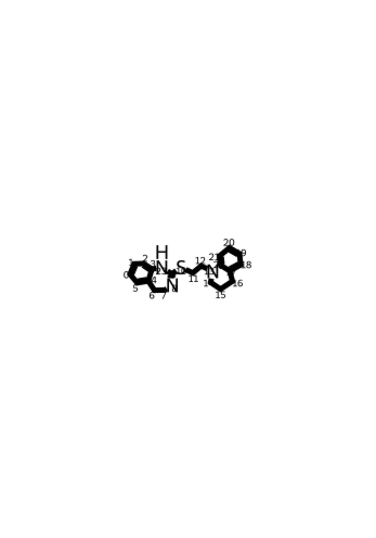 c1ccc2c(c1)CCN=C(SCCN1CCCc3ccccc31)N2